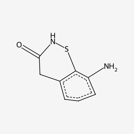 Nc1cccc2c1SNC(=O)C2